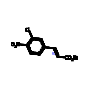 CCOC(=O)/C=C/c1ccc([N+](=O)[O-])c(Cl)c1